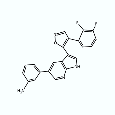 Nc1cccc(-c2cnc3[nH]cc(-c4oncc4-c4cccc(F)c4F)c3c2)c1